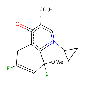 COC1(F)C=C(F)Cc2c1n(C1CC1)cc(C(=O)O)c2=O